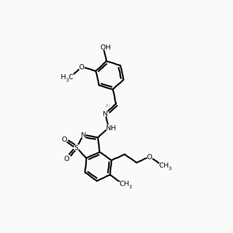 COCCc1c(C)ccc2c1C(N/N=C/c1ccc(O)c(OC)c1)=NS2(=O)=O